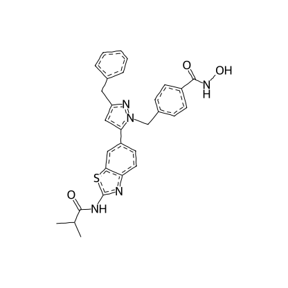 CC(C)C(=O)Nc1nc2ccc(-c3cc(Cc4ccccc4)nn3Cc3ccc(C(=O)NO)cc3)cc2s1